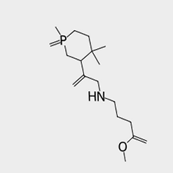 C=C(CCCNCC(=C)C1CP(=C)(C)CCC1(C)C)OC